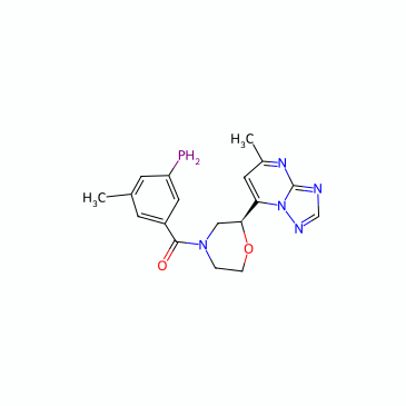 Cc1cc(P)cc(C(=O)N2CCO[C@H](c3cc(C)nc4ncnn34)C2)c1